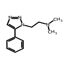 CN(C)CCn1nncc1-c1ccccc1